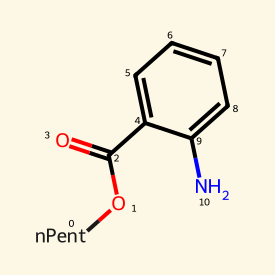 CCCCCOC(=O)c1ccccc1N